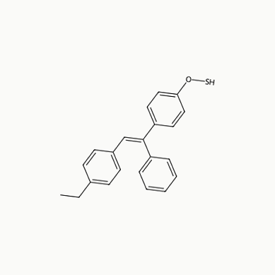 CCc1ccc(/C=C(\c2ccccc2)c2ccc(OS)cc2)cc1